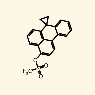 O=S(=O)(Oc1ccc2c3c(cccc13)C1(CC1)c1ccccc1-2)C(F)(F)F